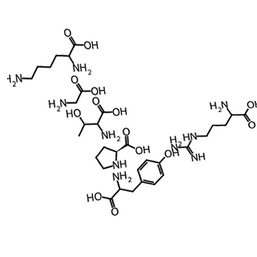 CC(O)C(N)C(=O)O.N=C(N)NCCCC(N)C(=O)O.NC(Cc1ccc(O)cc1)C(=O)O.NCC(=O)O.NCCCCC(N)C(=O)O.O=C(O)[C@@H]1CCCN1